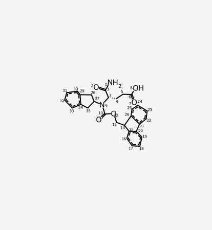 NC(=O)[C@H](CCC(=O)O)N(C(=O)OCC1c2ccccc2-c2ccccc21)C1Cc2ccccc2C1